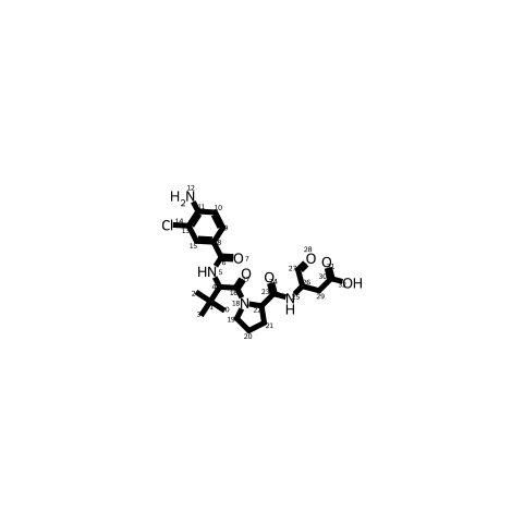 CC(C)(C)C(NC(=O)c1ccc(N)c(Cl)c1)C(=O)N1CCCC1C(=O)NC(C=O)CC(=O)O